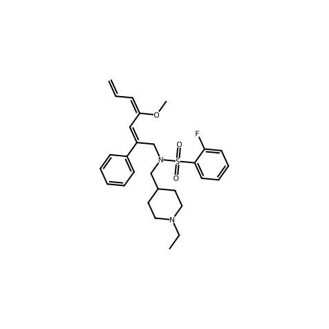 C=C/C=C(\C=C(/CN(CC1CCN(CC)CC1)S(=O)(=O)c1ccccc1F)c1ccccc1)OC